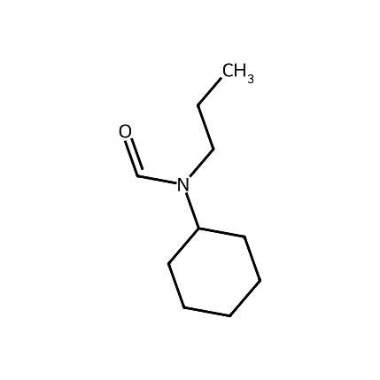 CCCN(C=O)C1CCCCC1